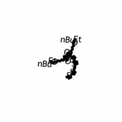 CCCCC(CC)COCCCCCN1C(=O)C2=C(c3ccc(-c4ccc(C#Cc5ccc(-c6ccc(C)s6)s5)s4)s3)N(CCCCCCOC(CC)CCCC)C(=O)C2=C1C